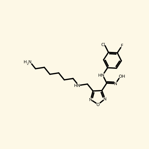 NCCCCCCNCc1nonc1/C(=N/O)Nc1ccc(F)c(Cl)c1